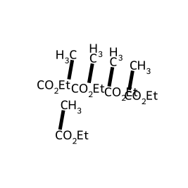 CCOC(C)=O.CCOC(C)=O.CCOC(C)=O.CCOC(C)=O.CCOC(C)=O